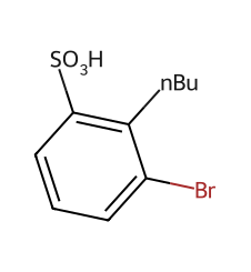 CCCCc1c(Br)cccc1S(=O)(=O)O